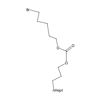 CCCCCCCCCCOC(=O)OCCCCCBr